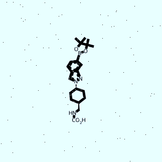 CC1(C)OB(c2ccc3cn([C@H]4CC[C@H](CNC(=O)O)CC4)nc3c2)OC1(C)C